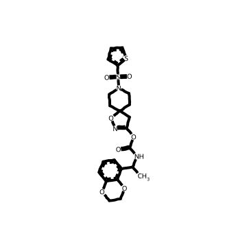 CC(NC(=O)OC1=NOC2(CCN(S(=O)(=O)c3cccs3)CC2)C1)c1cccc2c1OCCO2